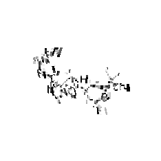 C[C@H](NC(=O)c1cc(Cl)nc(C(C)(C)C#N)c1)c1ncnn1-c1ncc(C#N)s1